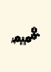 CSc1cnc(-c2ccc(NC(=O)Nc3cccc(C(F)(F)F)c3)cc2)nc1N1CCOCC1